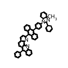 CC12C=CC=CC1N(c1ccc(-c3c4ccccc4c(-c4ccc5ccc6c(-c7ccccc7)c7ccccc7nc6c5n4)c4ccccc34)cc1)C(C1C=CC=CC1)=N2